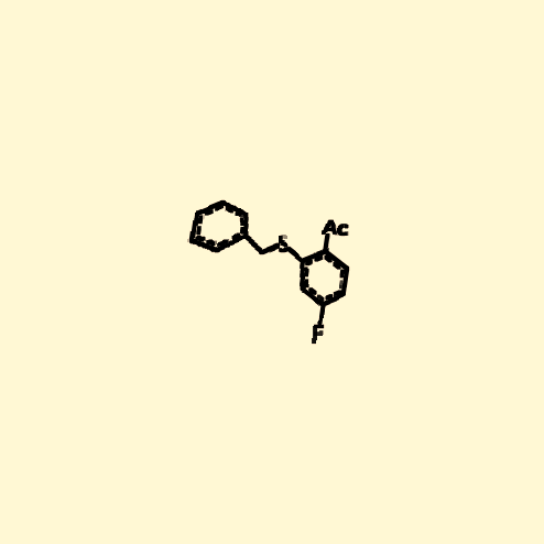 CC(=O)c1ccc(F)cc1SCc1ccccc1